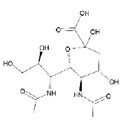 CC(=O)N[C@@H]([C@@H]1OC(O)(C(=O)O)C[C@H](O)[C@H]1NC(C)=O)[C@H](O)CO